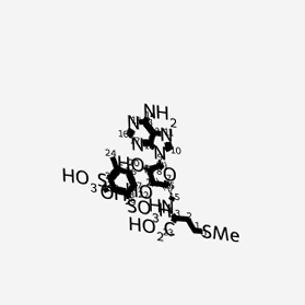 CSCCC(NC[C@H]1O[C@@H](n2cnc3c(N)ncnc32)[C@H](O)[C@@H]1O)C(=O)O.Cc1ccc(S(=O)(=O)O)cc1.O=S(=O)(O)O